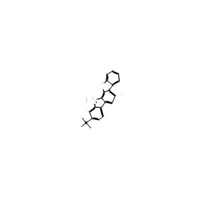 CC(C)(C)c1ccc2c(c1)[nH]c1c2ccc2c3ccccc3sc21